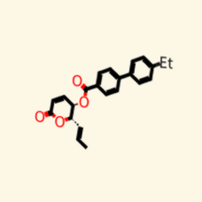 C/C=C/[C@@H]1OC(=O)C=C[C@@H]1OC(=O)c1ccc(-c2ccc(CC)cc2)cc1